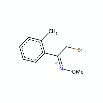 CO/N=C(\CBr)c1ccccc1C